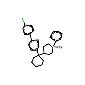 CCC[Si]1(c2ccccc2)CCC(C2(c3ccc(-c4ccc(F)cc4)cc3)CCCCC2)CC1